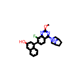 COc1nc(N2CC3CCC(C2)N3)c2ccc(-c3cc(O)cc4ccccc34)c(F)c2n1